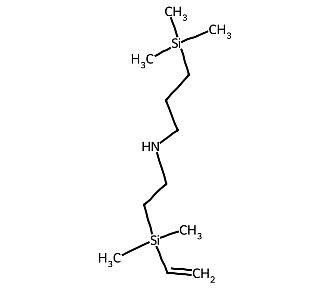 C=C[Si](C)(C)CCNCCC[Si](C)(C)C